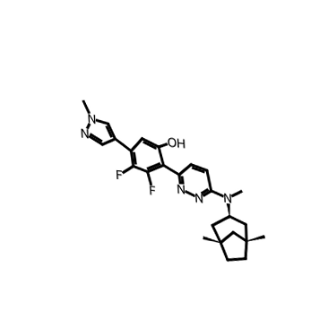 CN(c1ccc(-c2c(O)cc(-c3cnn(C)c3)c(F)c2F)nn1)[C@H]1C[C@]2(C)CC[C@](C)(C1)C2